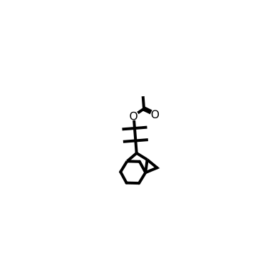 CC(=O)OC(C)(C)C(C)(C)C1C2CCCC3(C2)CC13